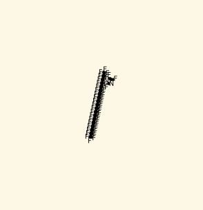 Fc1nc(F)n(C(F)(C(F)(F)C(F)(F)F)C(F)(F)C(F)(F)C(F)(F)C(F)(F)C(F)(F)C(F)(F)C(F)(F)C(F)(F)C(F)(F)C(F)(F)C(F)(F)C(F)(F)C(F)(F)C(F)(F)C(F)(F)C(F)(F)F)c1F